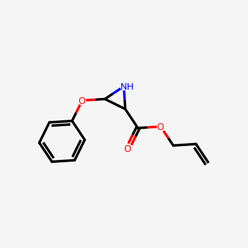 C=CCOC(=O)C1NC1Oc1ccccc1